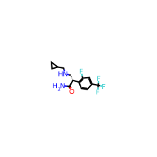 NC(=O)[C@H](CNCC1CC1)c1ccc(C(F)(F)F)cc1F